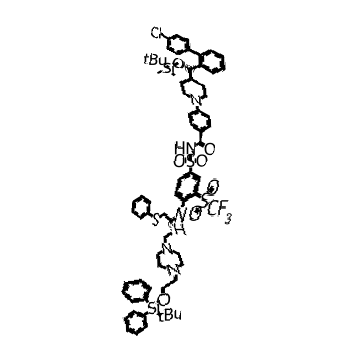 CC(C)(C)[Si](C)(C)O[C@@H](c1ccccc1-c1ccc(Cl)cc1)C1CCN(c2ccc(C(=O)NS(=O)(=O)c3ccc(N[C@H](CCN4CCN(CCO[Si](c5ccccc5)(c5ccccc5)C(C)(C)C)CC4)CSc4ccccc4)c(S(=O)(=O)C(F)(F)F)c3)cc2)CC1